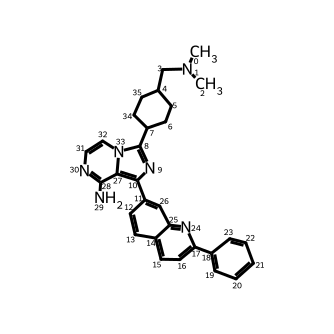 CN(C)CC1CCC(c2nc(-c3ccc4ccc(-c5ccccc5)nc4c3)c3c(N)nccn23)CC1